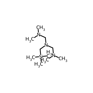 CN(C)CN(CN(C)C)C[Si](C)(C)C